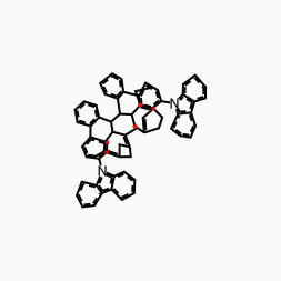 CCC1=C2C=C(CC2)CC1C(c1ccccc1-c1ccc(-n2c3ccccc3c3ccccc32)cc1)C(c1ccccc1-c1ccc(-n2c3ccccc3c3ccccc32)cc1)C1CC(C)=C2CC(=C1C)C2